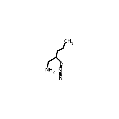 CCCC(CN)N=[N+]=[N-]